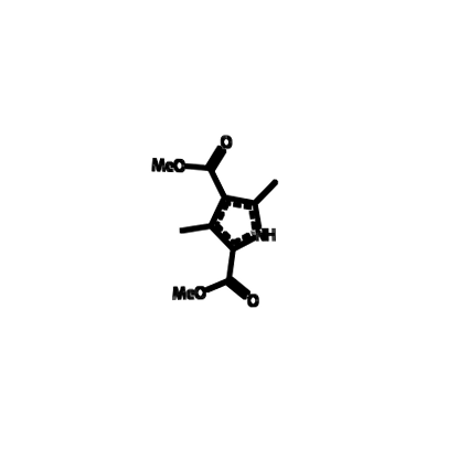 COC(=O)c1[nH]c(C)c(C(=O)OC)c1C